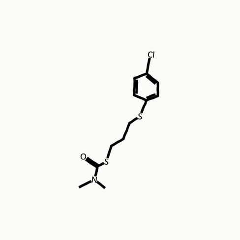 CN(C)C(=O)SCCCSc1ccc(Cl)cc1